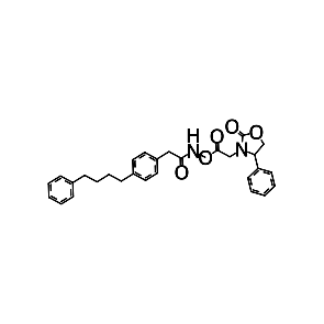 O=C(Cc1ccc(CCCCc2ccccc2)cc1)NOC(=O)CN1C(=O)OCC1c1ccccc1